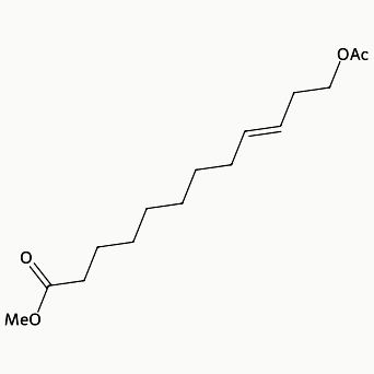 COC(=O)CCCCCCC/C=C/CCOC(C)=O